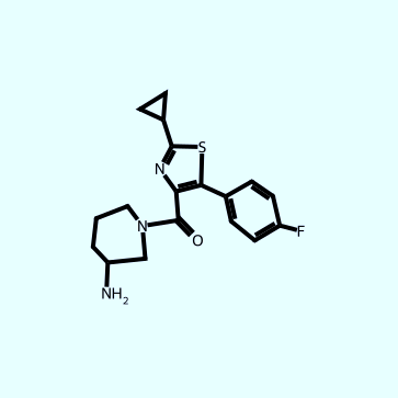 NC1CCCN(C(=O)c2nc(C3CC3)sc2-c2ccc(F)cc2)C1